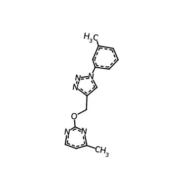 Cc1cccc(-n2cc(COc3nccc(C)n3)nn2)c1